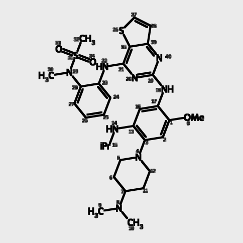 COc1cc(N2CCC(N(C)C)CC2)c(NC(C)C)cc1Nc1nc(Nc2ccccc2N(C)S(C)(=O)=O)c2sccc2n1